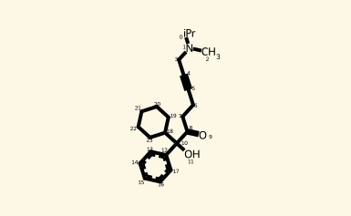 CC(C)N(C)CC#CCCC(=O)C(O)(c1ccccc1)C1CCCCC1